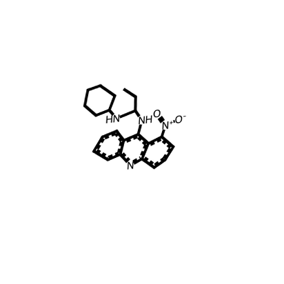 CCC(Nc1c2ccccc2nc2cccc([N+](=O)[O-])c12)NC1CCCCC1